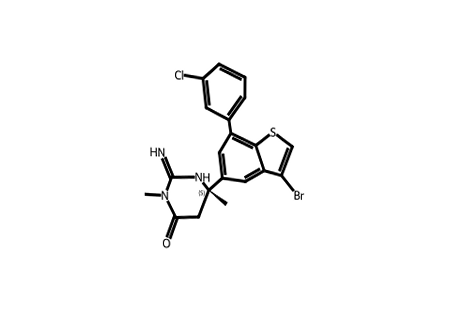 CN1C(=N)N[C@](C)(c2cc(-c3cccc(Cl)c3)c3scc(Br)c3c2)CC1=O